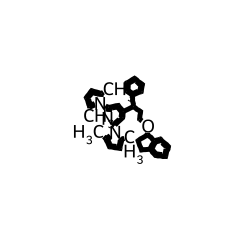 Cc1ccc(C)n1-c1cc(C(CCOC2CCc3ccccc32)c2ccccc2)cc(-n2c(C)ccc2C)n1